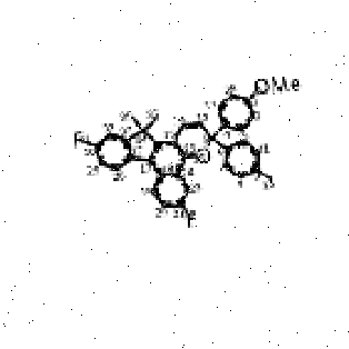 COc1ccc(C2(c3ccc(C)cc3)C=Cc3c4c(c5ccc(F)cc5c3O2)-c2ccc(F)cc2C4(C)C)cc1